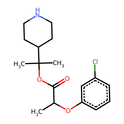 CC(Oc1cccc(Cl)c1)C(=O)OC(C)(C)C1CCNCC1